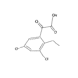 CCc1c(Cl)cc(Cl)cc1C(=O)C(=O)O